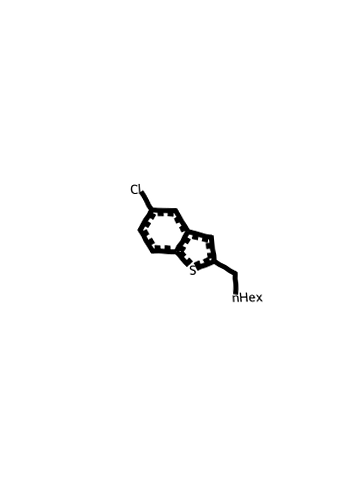 CCCCCCCc1cc2cc(Cl)ccc2s1